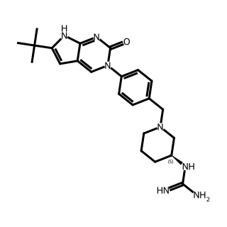 CC(C)(C)c1cc2cn(-c3ccc(CN4CCC[C@H](NC(=N)N)C4)cc3)c(=O)nc2[nH]1